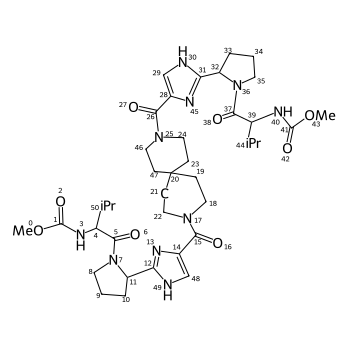 COC(=O)NC(C(=O)N1CCCC1c1nc(C(=O)N2CCC3(CC2)CCN(C(=O)c2c[nH]c(C4CCCN4C(=O)C(NC(=O)OC)C(C)C)n2)CC3)c[nH]1)C(C)C